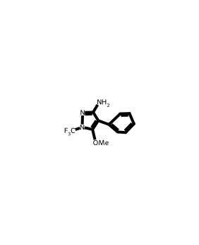 COc1c(-c2ccccc2)c(N)nn1C(F)(F)F